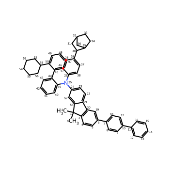 CC1(C)c2ccc(-c3ccc(-c4ccccc4)cc3)cc2-c2ccc(N(c3ccc(C4CC5CCC4C5)cc3)c3ccccc3-c3ccccc3C3CCCCC3)cc21